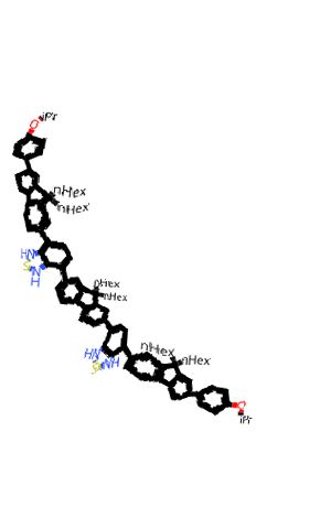 CCCCCCC1(CCCCCC)c2cc(C3=CC=C(c4ccc5c(c4)C(CCCCCC)(CCCCCC)c4cc(-c6ccc(OC(C)C)cc6)ccc4-5)C4NSNC34)ccc2-c2ccc(C3=CC=C(c4ccc5c(c4)C(CCCCCC)(CCCCCC)c4cc(-c6ccc(OC(C)C)cc6)ccc4-5)C4NSNC34)cc21